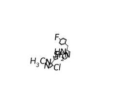 CCn1ncc(Cl)c1-c1csc(C(=O)NC(CN)Cc2ccc(F)cc2)c1